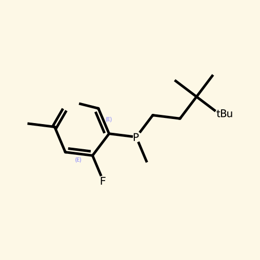 C=C(C)/C=C(F)\C(=C/C)P(C)CCC(C)(C)C(C)(C)C